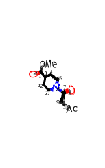 COC(=O)C1CCN(C(=O)CC(C)=O)CC1